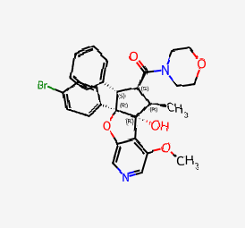 COc1cncc2c1[C@]1(O)[C@H](C)[C@H](C(=O)N3CCOCC3)[C@@H](c3ccccc3)[C@]1(c1ccc(Br)cc1)O2